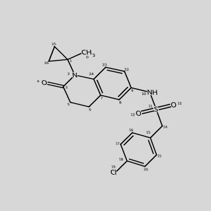 CC1(N2C(=O)CCc3cc(NS(=O)(=O)Cc4ccc(Cl)cc4)ccc32)CC1